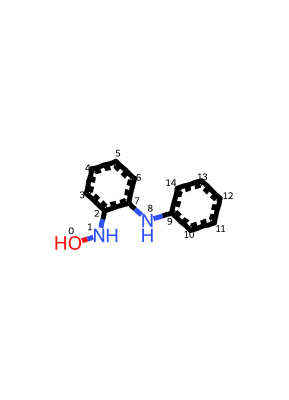 ONc1ccccc1Nc1ccccc1